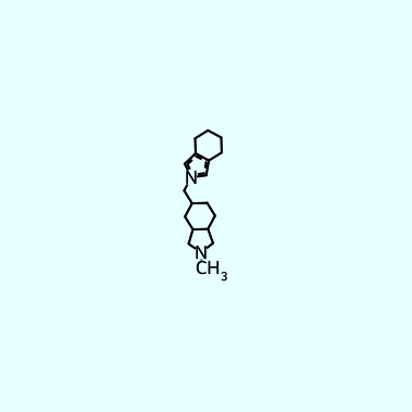 CN1CC2CCC(Cn3cc4c(c3)CCCC4)CC2C1